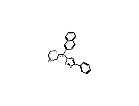 c1ccc(-c2nnn([C@H](c3ccc4ccccc4c3)[C@H]3CCCNC3)n2)cc1